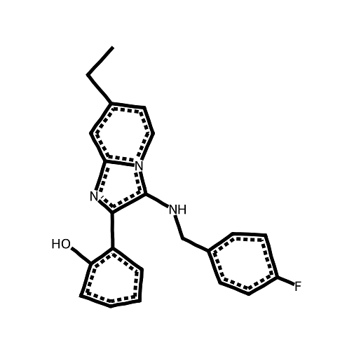 CCc1ccn2c(NCc3ccc(F)cc3)c(-c3ccccc3O)nc2c1